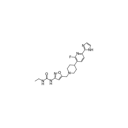 CCNC(=O)Nc1cc(CN2CCC(c3ccc(-c4ncc[nH]4)nc3F)CC2)on1